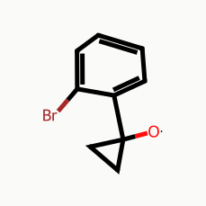 [O]C1(c2ccccc2Br)CC1